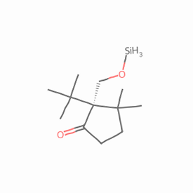 CC(C)(C)[C@]1(CO[SiH3])C(=O)CCC1(C)C